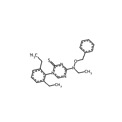 CCc1cccc(CC)c1-n1cnc(N(CC)OCc2ccccc2)nc1=S